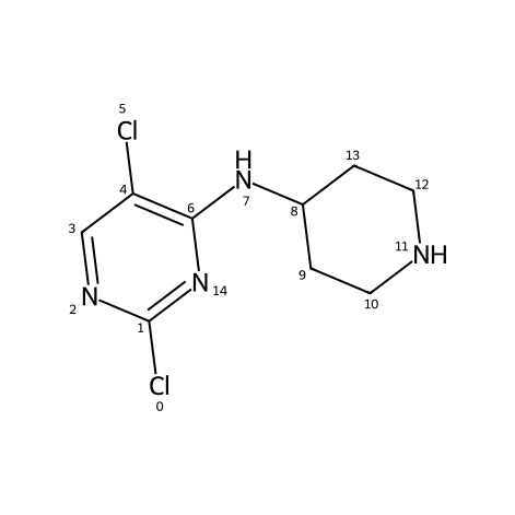 Clc1ncc(Cl)c(NC2CCNCC2)n1